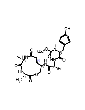 CC(C)[C@@H]1NC(=O)/C=C/[C@@H](NC(=O)[C@@H](NC(=O)[C@H](Cc2ccc(O)cc2)NC(=O)OC(C)(C)C)C(C)C)COC(=O)[C@H](C)NC1=O